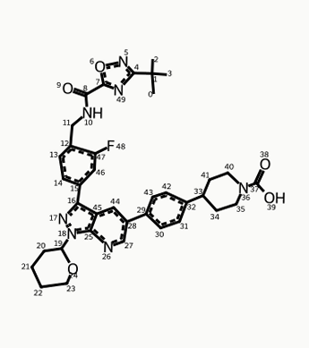 CC(C)(C)c1noc(C(=O)NCc2ccc(-c3nn(C4CCCCO4)c4ncc(-c5ccc(C6CCN(C(=O)O)CC6)cc5)cc34)cc2F)n1